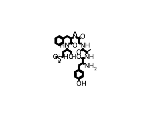 C[C@@H](NC(O)C(N)Cc1ccc(O)cc1)C(=O)NCC(=O)N(C)C(Cc1ccccc1)C(=O)NC(CO)CC[S+](C)[O-]